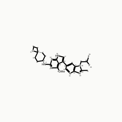 COc1nc(N[C@H]2CC[C@]3(CCO3)CC2)nc2[nH]cc(-c3cnc4nc(C)n(CC(F)F)c4c3)c12